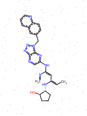 C=N/C(=C\C(=C/C)N[C@@H]1CCC[C@H]1O)Nc1cnc2nnn(Cc3ccc4ncccc4c3)c2n1